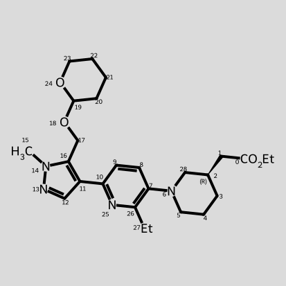 CCOC(=O)C[C@H]1CCCN(c2ccc(-c3cnn(C)c3COC3CCCCO3)nc2CC)C1